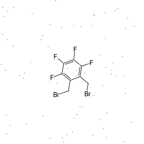 Fc1c(F)c(F)c(CBr)c(CBr)c1F